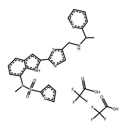 CC(NCc1cnc(-c2cc3cccc(N(C)S(=O)(=O)c4cccs4)c3[nH]2)s1)c1ccccn1.O=C(O)C(F)(F)F.O=C(O)C(F)(F)F